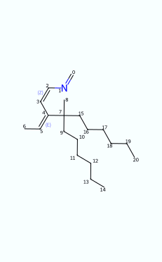 C=N/C=C\C(=C/C)C(C)(CCCCCC)CCCCCC